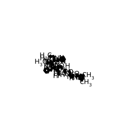 CCC(C)C(NC(=O)C(CC(C)C)NC(=O)c1cnccn1)C(=O)NC(CC1CCCCC1)C(=O)NC(CC(F)F)C(=O)C(=O)NCC(=O)NS(=O)(=O)c1nnc(NC(=O)c2cc(C)cc(C)c2)s1